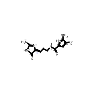 Bc1[nH]c(C(=O)NCC/C=C2\N=C(N)NC2=O)cc1Br